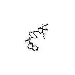 CCOc1cc(CN2CCC(Nc3cnc4ccccc4c3)CC2)cc(OCC)c1Br